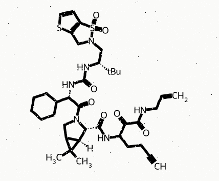 C#CCCC(NC(=O)[C@@H]1[C@@H]2C(CN1C(=O)[C@@H](NC(=O)N[C@H](CN1Cc3sccc3S1(=O)=O)C(C)(C)C)C1CCCCC1)C2(C)C)C(=O)C(=O)NCC=C